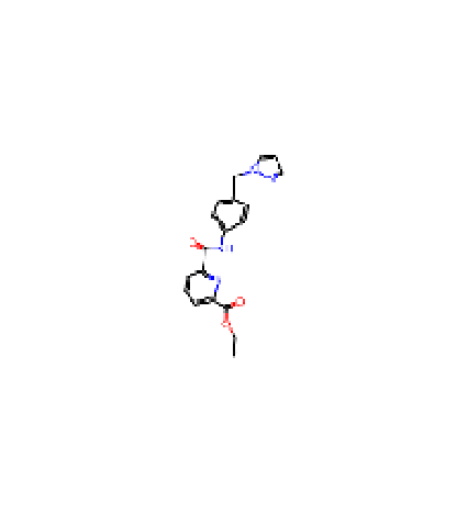 CCOC(=O)c1cccc(C(=O)Nc2ccc(Cn3cccn3)cc2)n1